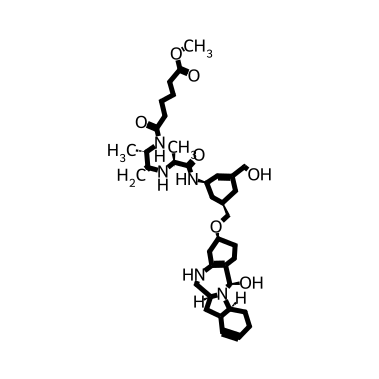 C=C(N[C@@H](C)C(=O)N[C@H]1C=C(CO)C[C@@H](CO[C@H]2CCC3=C(C2)NC[C@@H]2CC4C#CCC[C@@H]4N2[C@@H]3O)C1)[C@H](C)NC(=O)CCCCC(=O)OC